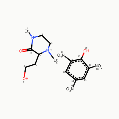 CCN1CCN(CC)C(CCO)C1=O.O=[N+]([O-])c1cc([N+](=O)[O-])c(O)c([N+](=O)[O-])c1